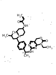 C=CC(=O)NC1CCN(C(CC(C)C)c2ccc([C@H](C)Nc3ncc4c(n3)N(CC)C(=O)OC4)cc2)CC1